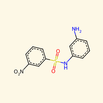 Nc1cccc(NS(=O)(=O)c2cccc([N+](=O)[O-])c2)c1